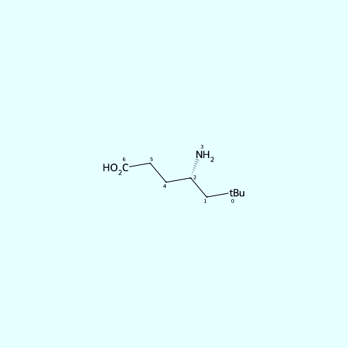 CC(C)(C)C[C@@H](N)CCC(=O)O